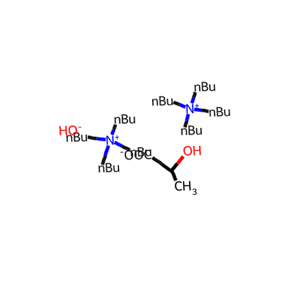 CC(O)C(=O)[O-].CCCC[N+](CCCC)(CCCC)CCCC.CCCC[N+](CCCC)(CCCC)CCCC.[OH-]